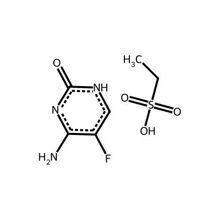 CCS(=O)(=O)O.Nc1nc(=O)[nH]cc1F